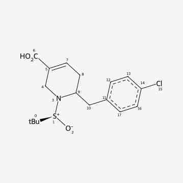 CC(C)(C)[S@+]([O-])N1CC(C(=O)O)=CCC1Cc1ccc(Cl)cc1